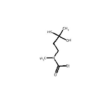 CCC(=O)N(C)CCC(C)(O)S